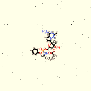 CCOC(=O)[C@H](C)NP(=O)(OC[C@H]1O[C@@](C#N)(c2ccc3c(N)nc(C)nn23)[C@](C)(O)[C@@H]1OC(=O)C(C)C)Oc1ccccc1